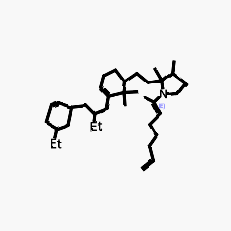 C=CCCC/C=C(\C)N1CCC(C)C1(C)CCC1CCC=C(CC(CC)CC2C=CCC(CC)C2)C1(C)C